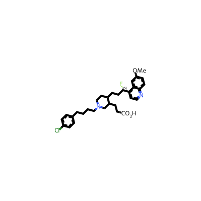 COc1ccc2nccc([C@@H](F)CCC3CCN(CCCCc4ccc(Cl)cc4)CC3CCC(=O)O)c2c1